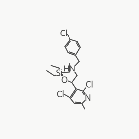 CC[Si](CC)(CC)OC(CNCc1ccc(Cl)cc1)c1c(Cl)cc(C)nc1Cl